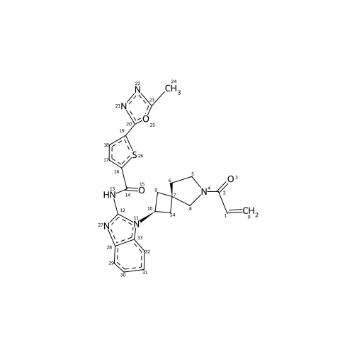 C=CC(=O)N1CC[C@]2(C1)C[C@H](n1c(NC(=O)c3ccc(-c4nnc(C)o4)s3)nc3ccccc31)C2